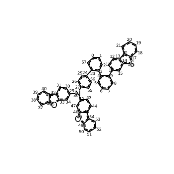 c1ccc(-c2ccccc2-c2ccc3c(c2)sc2ccccc23)c(-c2ccc(N(c3ccc4c(c3)oc3ccccc34)c3ccc4c(c3)oc3ccccc34)cc2)c1